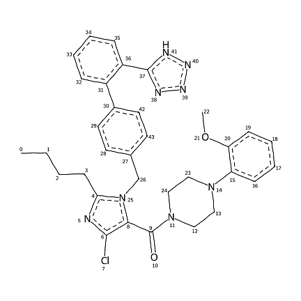 CCCCc1nc(Cl)c(C(=O)N2CCN(c3ccccc3OC)CC2)n1Cc1ccc(-c2ccccc2-c2nnn[nH]2)cc1